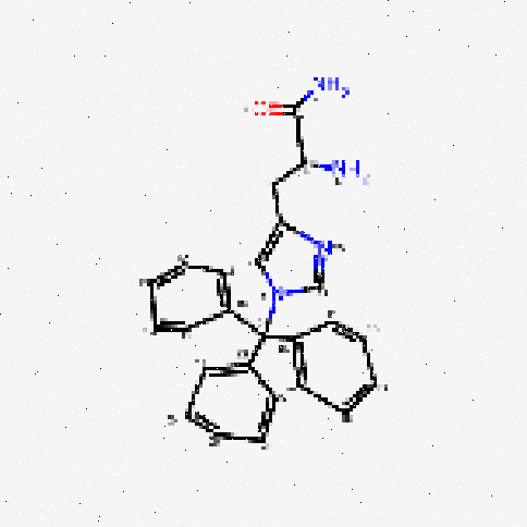 NC(=O)[C@@H](N)Cc1cn(C(c2ccccc2)(c2ccccc2)c2ccccc2)cn1